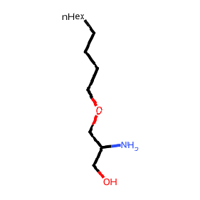 CCCCCCCCCCOCC(N)CO